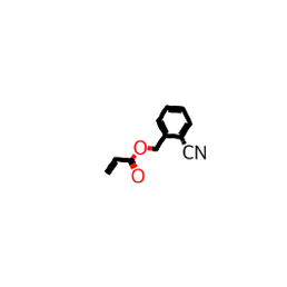 C=CC(=O)OCc1ccccc1C#N